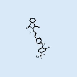 CCC(C)(C)c1ccc(Oc2ccc(/C=C/[C@H](C)N3C(=O)c4ccccc4C3=O)cn2)c(Cl)c1